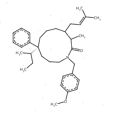 CCC(C)[C@]1(c2ccccc2)CCCC(CC=C(C)C)C(C)C(=O)N(Cc2ccc(OC)cc2)CCC1